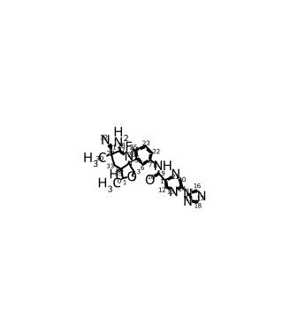 C[C@@H]1OC[C@@]2(c3cc(NC(=O)c4cnc(-n5cncn5)cn4)ccc3F)N=C(N)[C@@](C)(C#N)C[C@@H]12